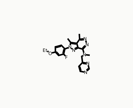 CCOc1ccc(-n2nc3c(N(C)Cc4ccncn4)nnc(C)c3c2C)c(F)c1